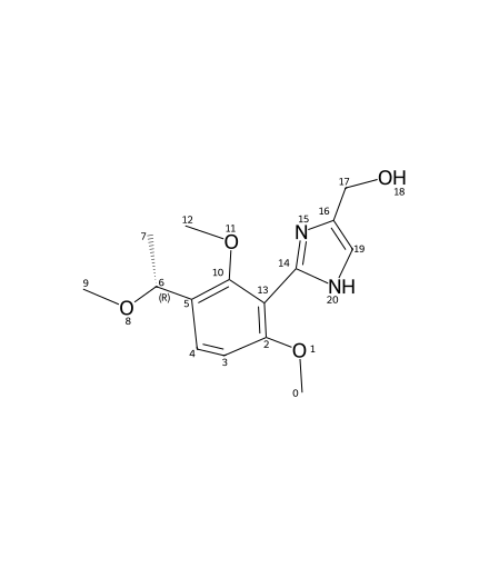 COc1ccc([C@@H](C)OC)c(OC)c1-c1nc(CO)c[nH]1